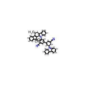 CC1Cc2c(n(-c3cc(C#N)cc(C4=CC(n5c6ccccc6c6ccccc65)CC(C#N)=C4)c3)c3ccccc23)C2=C1c1ccccc1C2(C)C